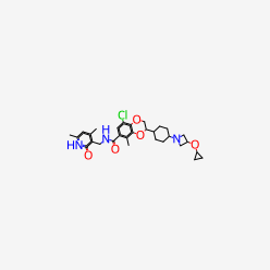 Cc1cc(C)c(CNC(=O)c2cc(Cl)c3c(c2C)OC(C2CCC(N4CC(OC5CC5)C4)CC2)CO3)c(=O)[nH]1